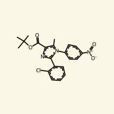 Cc1c(C(=O)OC(C)(C)C)nc(-c2ccccc2Cl)n1-c1ccc([N+](=O)[O-])cc1